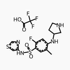 Cc1cc(S(=O)(=O)Nc2cscn2)c(F)cc1NC1CCNC1.O=C(O)C(F)(F)F